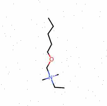 CCCCCOC[N+](C)(C)CC